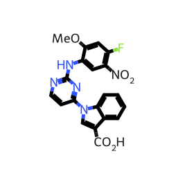 COc1cc(F)c([N+](=O)[O-])cc1Nc1nccc(-n2cc(C(=O)O)c3ccccc32)n1